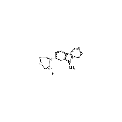 Cn1c2ccncc2c2ccc(N3CCOC[C@H]3CF)nc21